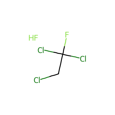 F.FC(Cl)(Cl)CCl